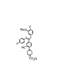 CCOC(=O)N1CCN(c2ccc(N(Cc3ccc(F)c(OC)c3)Sc3ccc(F)cc3)cc2C#N)CC1